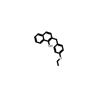 CCOc1ccc(Cc2ccc3ccccc3c2O)cc1